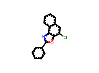 Clc1cc2ccccc2c2nc(-c3ccccc3)oc12